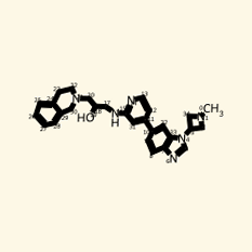 CN1CC(n2cnc3ccc(-c4ccnc(NCC(O)CN5CCc6ccccc6C5)c4)cc32)C1